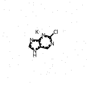 Clc1ncc2[nH]cnc2n1.[K]